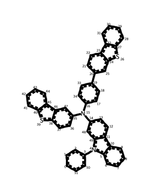 c1ccc(-n2c3ccccc3c3ccc(N(c4ccc(-c5ccc6c(c5)sc5ccccc56)cc4)c4ccc5sc6ccccc6c5c4)cc32)cc1